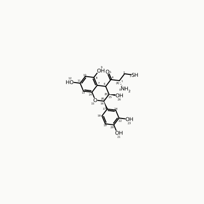 N[C@@H](CS)C(=O)C1c2c(O)cc(O)cc2O[C@H](c2ccc(O)c(O)c2)[C@@H]1O